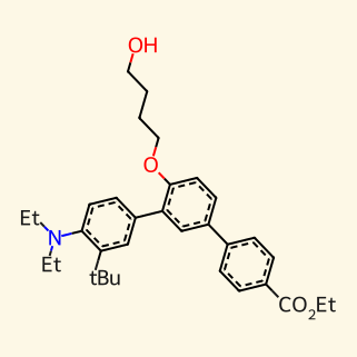 CCOC(=O)c1ccc(-c2ccc(OCCCCO)c(-c3ccc(N(CC)CC)c(C(C)(C)C)c3)c2)cc1